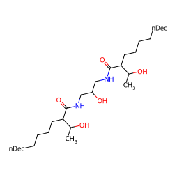 CCCCCCCCCCCCCCC(C(=O)NCC(O)CNC(=O)C(CCCCCCCCCCCCCC)C(C)O)C(C)O